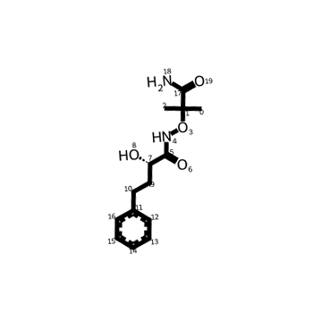 CC(C)(ONC(=O)[C@@H](O)[CH]Cc1ccccc1)C(N)=O